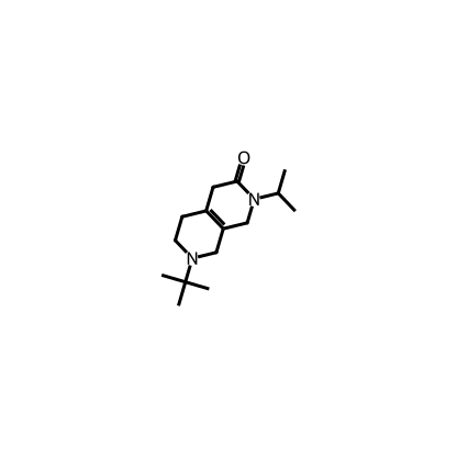 CC(C)N1CC2=C(CCN(C(C)(C)C)C2)CC1=O